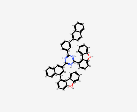 c1cc(-c2ccc3ccccc3c2)cc(-c2nc(-c3cc(-c4cccc5oc6ccccc6c45)c4ccccc4c3)nc(-c3cccc4oc5ccccc5c34)n2)c1